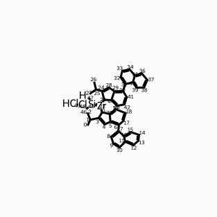 CC(C)C1=Cc2c(-c3cccc4ccccc34)cccc2[CH]1[Zr]([CH]1C(C(C)C)=Cc2c(-c3cccc4ccccc34)cccc21)=[Si](C)C.Cl.Cl